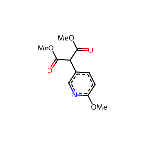 COC(=O)C(C(=O)OC)c1ccc(OC)nc1